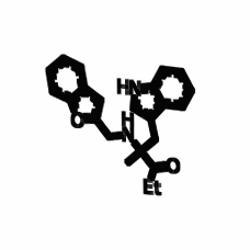 CCC(=O)C(C)(Cc1c[nH]c2ccccc12)NCc1cc2ccccc2o1